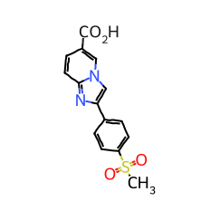 CS(=O)(=O)c1ccc(-c2cn3cc(C(=O)O)ccc3n2)cc1